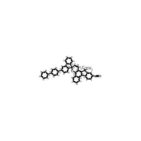 CC1(C)c2cc(C#N)ccc2-c2c1c1c(c3ccccc23)OC(c2ccccc2)(c2ccc(-c3ccc(-c4ccccc4)cc3)cc2)C=C1